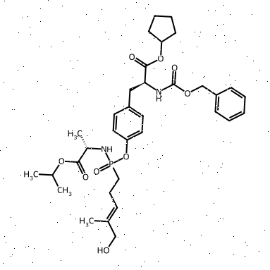 C/C(=C\CCP(=O)(N[C@@H](C)C(=O)OC(C)C)Oc1ccc(C[C@H](NC(=O)OCc2ccccc2)C(=O)OC2CCCC2)cc1)CO